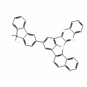 CC1(C)c2ccccc2-c2cc(-c3cc4c5ccc6ccccc6c5n5c6nc7ccccc7nc6c(c3)c45)ccc21